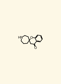 O=C1CC2(CCCNCC2)Oc2ccccc21